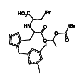 CC(C)CC(NC(Cc1cncn1Cc1cc(I)cc(I)c1)C(=O)OC(C)OC(=O)C(C)(C)C)C(=O)O